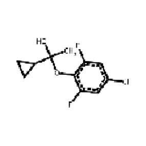 CC(O)(Oc1c(F)cc(Cl)cc1F)C1CC1